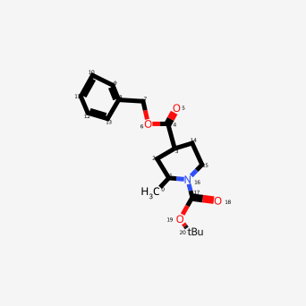 CC1CC(C(=O)OCc2ccccc2)CCN1C(=O)OC(C)(C)C